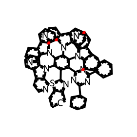 c1ccc(-c2nc(-c3ccccc3)nc(-c3c(-c4nc5ccccc5s4)c(-n4c5ccccc5c5ccncc54)c(-n4c5ccccc5c5ccncc54)c(-n4c5ccccc5c5ccncc54)c3-n3c4ccccc4c4ccncc43)n2)cc1